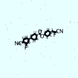 N#CC(F)=C[C@H]1CC[C@H](OC(=O)[C@H]2CC[C@H](c3ccc(C#N)c(F)c3)CC2)CC1